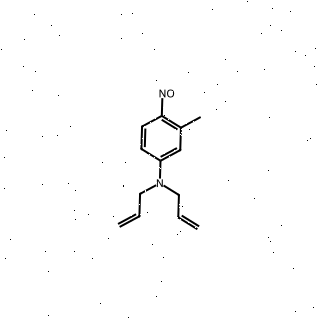 C=CCN(CC=C)c1ccc(N=O)c(C)c1